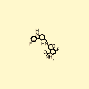 NC(=O)c1ccc(F)c2c1CC(NCC1CCc3[nH]c4ccc(F)cc4c3C1)CO2